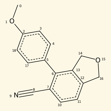 COc1ccc(-c2c(C#N)ccc3c2COC3)cc1